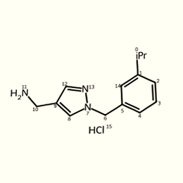 CC(C)c1cccc(Cn2cc(CN)cn2)c1.Cl